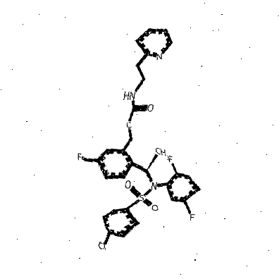 C[C@H](c1ccc(F)cc1CCC(=O)NCCc1ccccn1)N(c1cc(F)ccc1F)S(=O)(=O)c1ccc(Cl)cc1